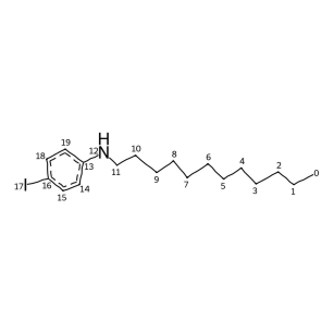 CCCCCCCCCCCCNc1ccc(I)cc1